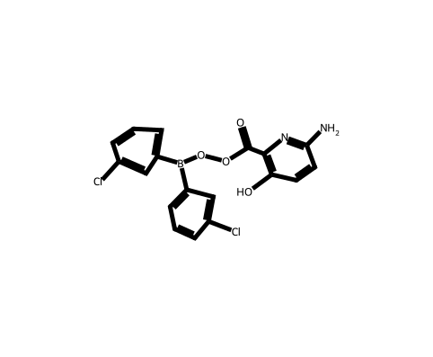 Nc1ccc(O)c(C(=O)OOB(c2cccc(Cl)c2)c2cccc(Cl)c2)n1